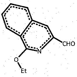 CCOc1nc(C=O)cc2ccccc12